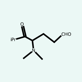 CC(C)C(=O)C(CCC=O)N(C)C